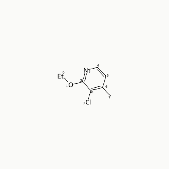 CCOc1nccc(C)c1Cl